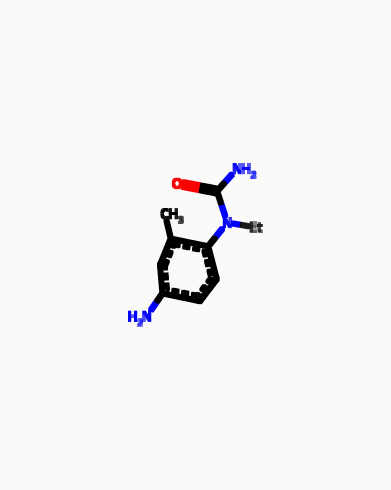 CCN(C(N)=O)c1ccc(N)cc1C